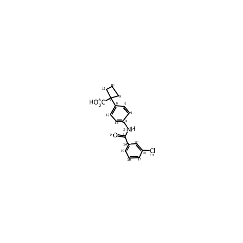 O=C(Nc1ccc(C2(C(=O)O)CCC2)cc1)c1cccc(Cl)c1